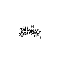 COC(=O)C(Cc1ccccc1)NC(=O)CCCC1=C(C)C(=O)c2ccccc2C1=O